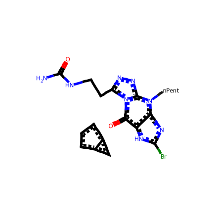 CCCCCn1c2nc(Br)[nH]c2c(=O)n2c(CCNC(N)=O)nnc12.c1cc2cc-2c1